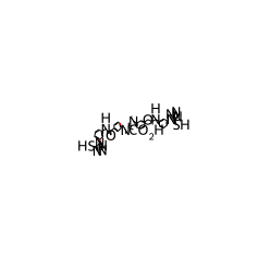 CN(CC(C(=O)O)N(C)c1cccc(C(=O)Nc2cccc(-n3nnnc3S)c2)c1)c1cccc(OCNc2cccc(-n3nnnc3S)c2)c1